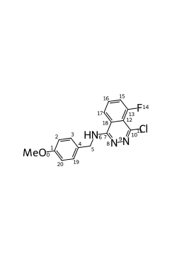 COc1ccc(CNc2nnc(Cl)c3c(F)cccc23)cc1